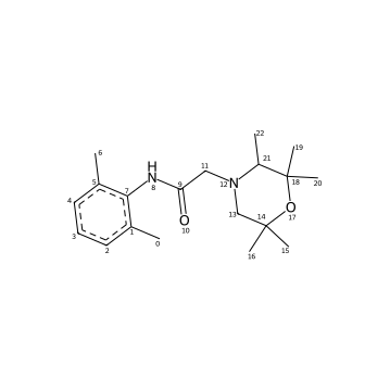 Cc1cccc(C)c1NC(=O)CN1CC(C)(C)OC(C)(C)C1C